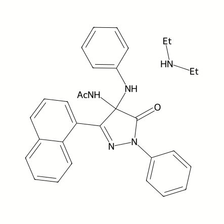 CC(=O)NC1(Nc2ccccc2)C(=O)N(c2ccccc2)N=C1c1cccc2ccccc12.CCNCC